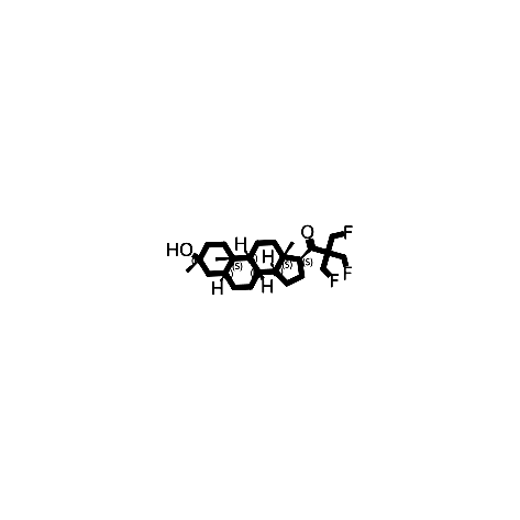 C[C@@]1(O)CC[C@@]2(C)[C@@H](CC[C@@H]3[C@@H]2CC[C@]2(C)[C@@H](C(=O)C(CF)(CF)CF)CC[C@@H]32)C1